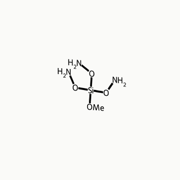 CO[Si](ON)(ON)ON